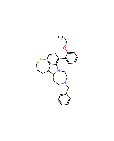 CCOc1ccccc1-c1ccc2c3c1N1CCN(Cc4ccccc4)CCC1C3CCCS2